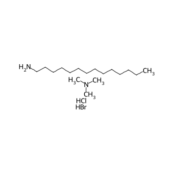 Br.CCCCCCCCCCCCCCN.CN(C)C.Cl